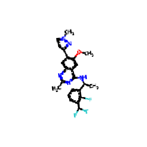 COc1cc2c(NC(C)c3cccc(C(F)F)c3F)nc(C)nc2cc1-c1ccn(C)n1